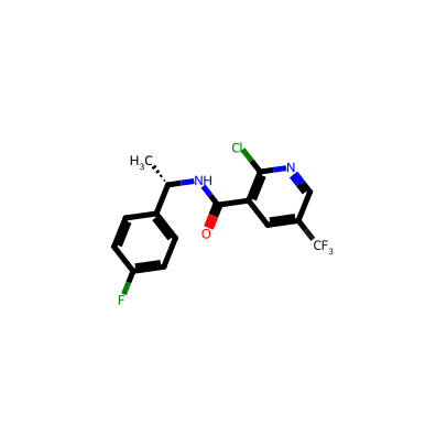 C[C@H](NC(=O)c1cc(C(F)(F)F)cnc1Cl)c1ccc(F)cc1